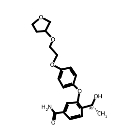 C[C@@H](O)c1ccc(C(N)=O)cc1Oc1ccc(OCCOC2CCOC2)cc1